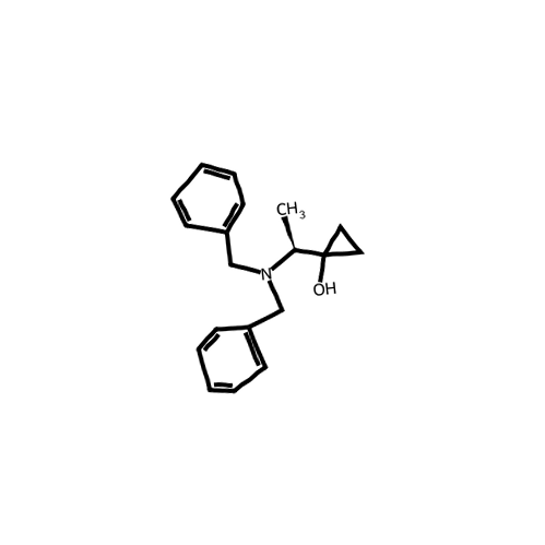 C[C@H](N(Cc1ccccc1)Cc1ccccc1)C1(O)CC1